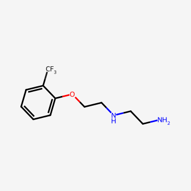 NCCNCCOc1ccccc1C(F)(F)F